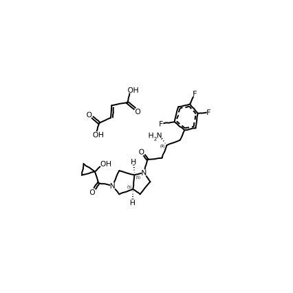 N[C@@H](CC(=O)N1CC[C@H]2CN(C(=O)C3(O)CC3)C[C@H]21)Cc1cc(F)c(F)cc1F.O=C(O)C=CC(=O)O